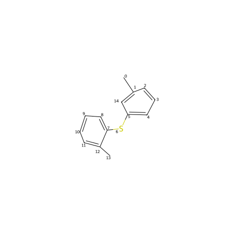 Cc1cccc(Sc2ccccc2C)c1